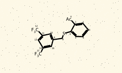 CC(=O)c1ccccc1SCc1cc(C(F)(F)F)cc(C(F)(F)F)c1